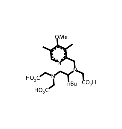 CCCCC(CN(CC(=O)O)CC(=O)O)N(CC(=O)O)Cc1ncc(C)c(OC)c1C